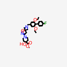 CCOc1cc(CN2CC3(CC(N4CCC(O)(C(=O)OC)CC4)=NO3)C2)cc(OCC)c1-c1ccc(F)cc1